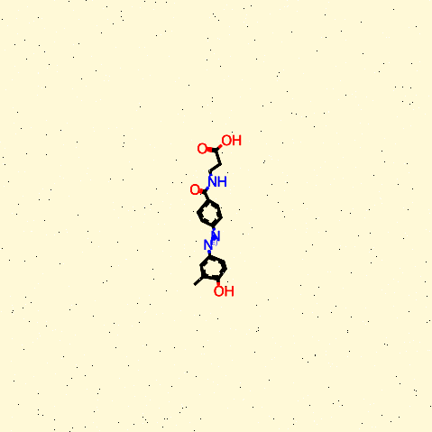 Cc1cc(/N=N/c2ccc(C(=O)NCCC(=O)O)cc2)ccc1O